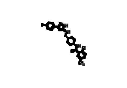 O=C(N[C@H]1CC[C@H](CNc2cc(-c3ccc(F)cc3)n[nH]2)CC1)c1cc(C(F)(F)F)ccc1Cl